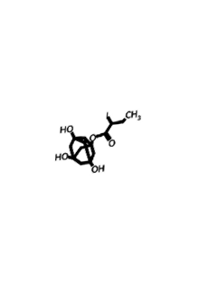 CCC(I)C(=O)OC12CC3(O)CC(O)(CC(O)(C3)C1)C2